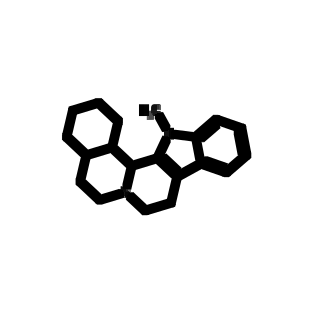 Cn1c2c(c3ccccc31)CCN1CCC3CCCCC3C21